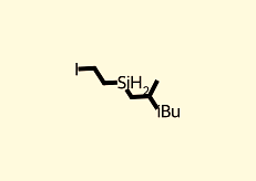 CCC(C)C(C)C[SiH2]CCI